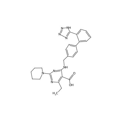 CCc1nc(N2CCCCC2)nc(NCc2ccc(-c3ccccc3-c3nnn[nH]3)cc2)c1C(=O)O